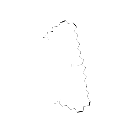 CN(C)CCCC/C=C\C/C=C\CCCCCCCCC(O)CCCCCCCC/C=C\C/C=C\CCCCN(C)C